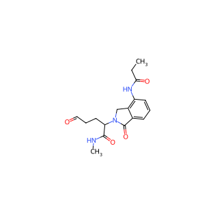 CCC(=O)Nc1cccc2c1CN(C(CCC=O)C(=O)NC)C2=O